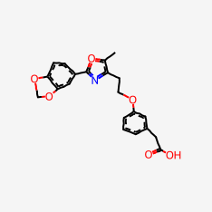 Cc1oc(-c2ccc3c(c2)OCO3)nc1CCOc1cccc(CC(=O)O)c1